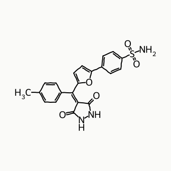 Cc1ccc(C(=C2C(=O)NNC2=O)c2ccc(-c3ccc(S(N)(=O)=O)cc3)o2)cc1